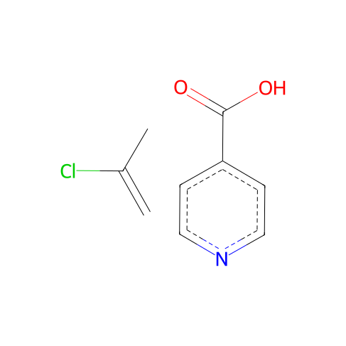 C=C(C)Cl.O=C(O)c1ccncc1